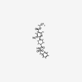 Cc1nc(N2CCC(C(=O)NS(=O)(=O)Cc3ccccc3)CC2)c(C#N)cc1C(=O)OCC(F)(F)F